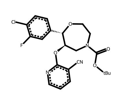 CC(C)(C)OC(=O)N1CCO[C@@H](c2ccc(Cl)c(F)c2)[C@H](Oc2ncccc2C#N)C1